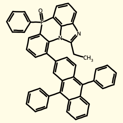 CCc1nc2cccc3c2n1-c1c(-c2ccc4c(-c5ccccc5)c5ccccc5c(-c5ccccc5)c4c2)cccc1P3(=O)c1ccccc1